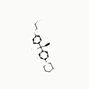 C#CC(O)(c1ccc(OCCO)cc1)c1ccc(N2CCCCC2)cc1